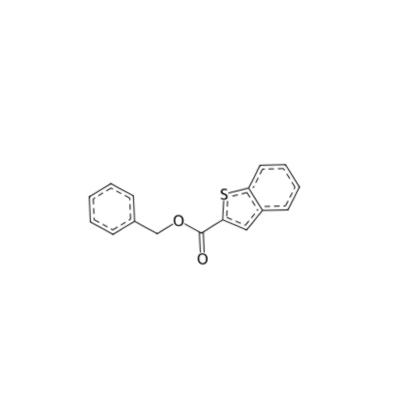 O=C(OCc1ccccc1)c1cc2ccccc2s1